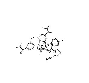 C=C(c1ccc2c(c1)CCc1cc(C(=O)N(C)C)ccc1C2(C[C@H](C)NCC(=O)N1CCCC1C#N)c1nn(-c2ccc(C)cc2)c(=O)[nH]1)N(C)C